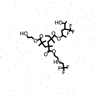 CCC(C)(CC(C)(CC(C)(C)C(=O)OCCO)C(=O)OCCNCC(F)(F)F)C(=O)OC(C)CC(C(C)O)C(F)(F)F